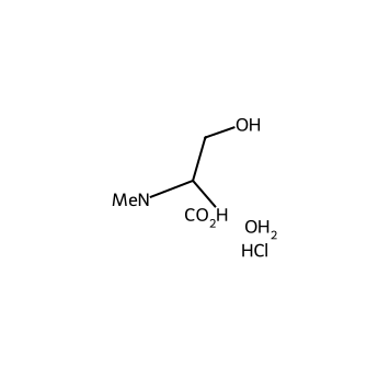 CNC(CO)C(=O)O.Cl.O